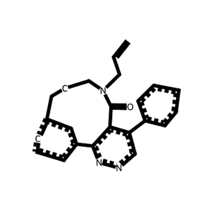 C=CCN1CCCc2cccc(c2)-c2nncc(-c3ccccc3)c2C1=O